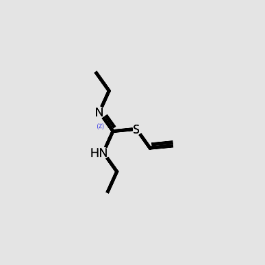 C=CS/C(=N\CC)NCC